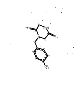 O=C1CN(Cc2ccc(C(F)(F)F)cc2)C(=O)CN1